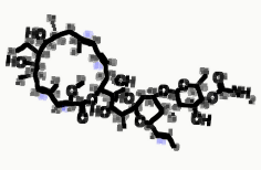 C/C=C/[C@H]1O[C@@](O)([C@@H](C)[C@H](O)[C@H](C)[C@H]2OC(=O)/C(OC)=C/C(C)=C/[C@@H](C)[C@@H](O)[C@@H](CC)[C@@H](O)[C@H](C)C/C(C)=C/C=C/[C@@H]2O)C[C@@H](O[C@@H]2C[C@H](O)[C@@H](OC(N)=O)[C@H](C)O2)[C@@H]1C